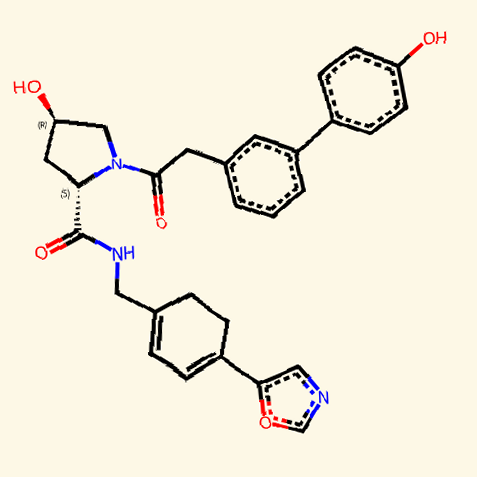 O=C(NCC1=CC=C(c2cnco2)CC1)[C@@H]1C[C@@H](O)CN1C(=O)Cc1cccc(-c2ccc(O)cc2)c1